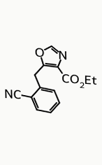 CCOC(=O)c1ncoc1Cc1ccccc1C#N